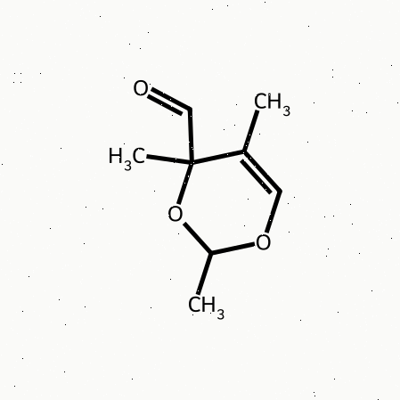 CC1=COC(C)OC1(C)C=O